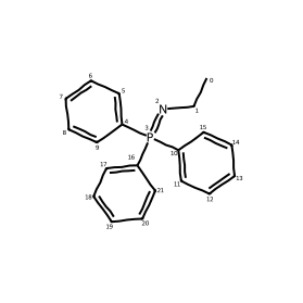 CCN=P(c1ccccc1)(c1ccccc1)c1ccccc1